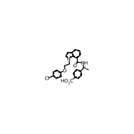 C[C@H](NC(=O)c1cccc2ccn(CCOc3ccc(Cl)cc3)c12)c1ccc(C(=O)O)cc1